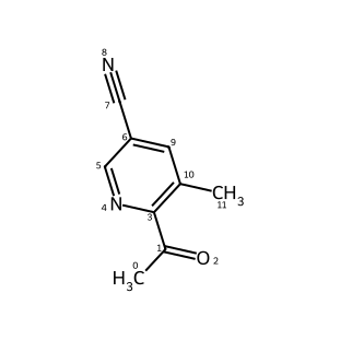 CC(=O)c1ncc(C#N)cc1C